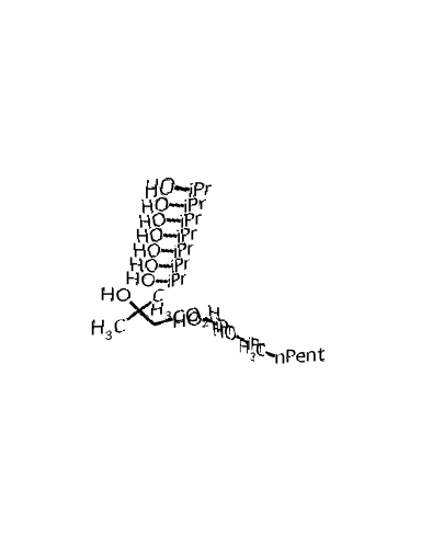 CC(C)(O)CC(=O)O.CC(C)O.CC(C)O.CC(C)O.CC(C)O.CC(C)O.CC(C)O.CC(C)O.CC(C)O.CC(C)O.CCCCCC